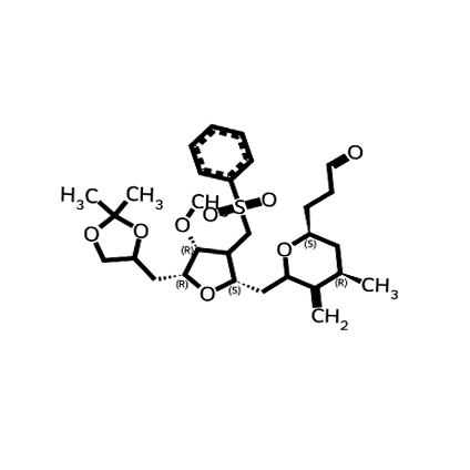 C=C1C(C[C@@H]2O[C@H](CC3COC(C)(C)O3)[C@H](OC)C2CS(=O)(=O)c2ccccc2)O[C@@H](CCC=O)C[C@H]1C